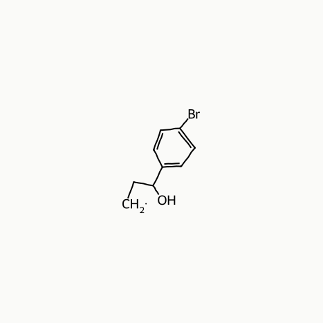 [CH2]CC(O)c1ccc(Br)cc1